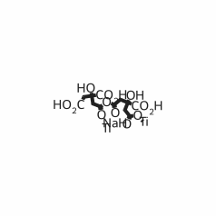 O=C(O)CC(O)(CC(=O)OC(=O)CC(O)(CC(=O)[O][Ti])C(=O)O)C(=O)O.[NaH].[Ti]